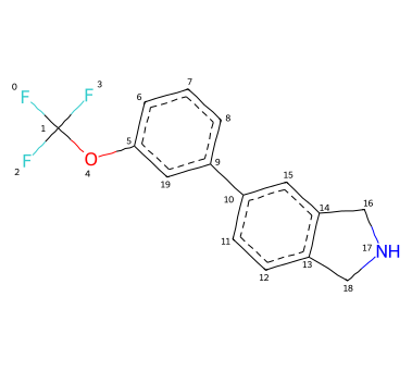 FC(F)(F)Oc1cccc(-c2ccc3c(c2)CNC3)c1